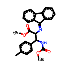 Cc1ccc(C(NC(=O)OC(C)(C)C)C(N=C2c3ccccc3-c3ccccc32)C(=O)OC(C)(C)C)cc1